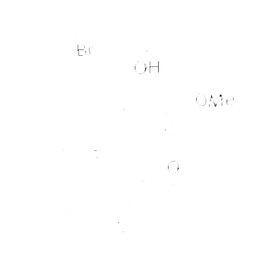 COC(=O)C(O)(CBr)c1ccccc1